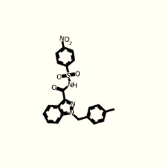 Cc1ccc(Cn2nc(C(=O)NS(=O)(=O)c3ccc([N+](=O)[O-])cc3)c3ccccc32)cc1